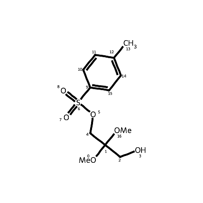 COC(CO)(COS(=O)(=O)c1ccc(C)cc1)OC